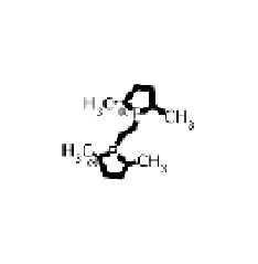 CC1CC[C@@H](C)P1CCP1C(C)CC[C@H]1C